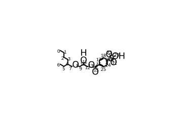 CCCCC(CC)COCC(O)COC(=O)c1ccc(S(=O)(=O)O)cc1